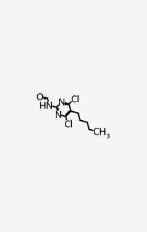 CCCCCc1c(Cl)nc(NC=O)nc1Cl